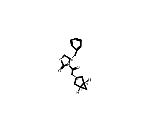 O=C(C[C@H]1C[C@@H]2C[C@@H]2C1)N1C(=O)OC[C@@H]1Cc1ccccc1